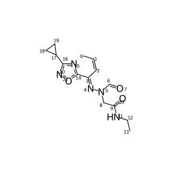 C/C=C\C(=N/N(C=O)CC(=O)NCC)c1nc(C2CC2)no1